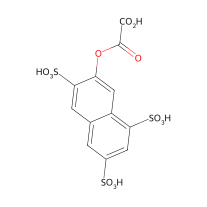 O=C(O)C(=O)Oc1cc2c(S(=O)(=O)O)cc(S(=O)(=O)O)cc2cc1S(=O)(=O)O